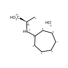 C[C@@H](NC1CCCCCC1)C(=O)O.Cl